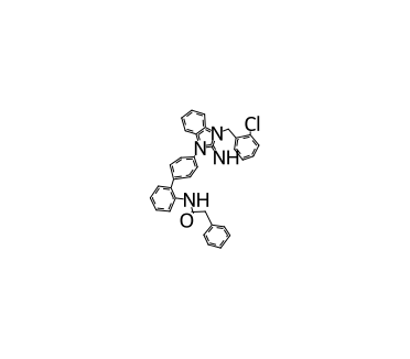 N=c1n(Cc2ccccc2Cl)c2ccccc2n1-c1ccc(-c2ccccc2NC(=O)Cc2ccccc2)cc1